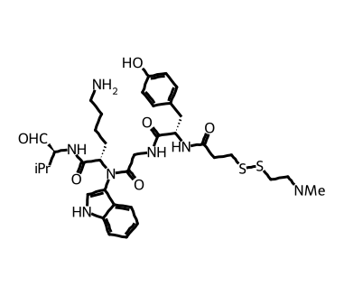 CNCCSSCCC(=O)N[C@@H](Cc1ccc(O)cc1)C(=O)NCC(=O)N(c1c[nH]c2ccccc12)[C@@H](CCCCN)C(=O)N[C@H](C=O)C(C)C